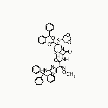 CON=C(C(=O)NC1C(=O)N2CC(SC3COCOC3)(C(=O)OC(c3ccccc3)c3ccccc3)CS[C@H]12)c1csc(NC(c2ccccc2)(c2ccccc2)c2ccccc2)n1